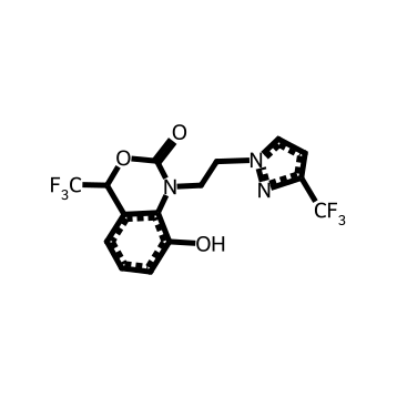 O=C1OC(C(F)(F)F)c2cccc(O)c2N1CCn1ccc(C(F)(F)F)n1